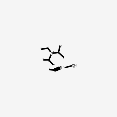 CC#N.CCN(C(C)C)C(C)C.CO